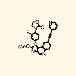 COc1nc2cnc3ccc(C#Cc4cccnc4)cc3c2n1-c1ccc(N2CCOC2=O)c(F)c1